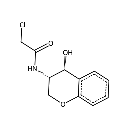 O=C(CCl)N[C@H]1COc2ccccc2[C@H]1O